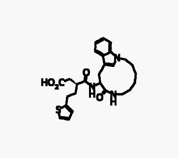 O=C(O)C[C@@H](CCc1cccs1)C(=O)NC1Cc2cn(c3ccccc23)CCCCCCNC1=O